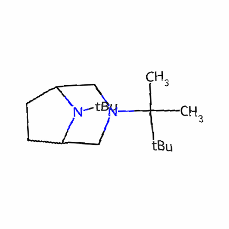 CC(C)(C)N1C2CCC1CN(C(C)(C)C(C)(C)C)C2